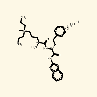 C[N+](CCN)(CCN)CCC[C@H](N)C(=O)N[C@H](CCc1ccccc1)C(=O)Nc1nc2ccccc2s1.Cl.Cl.Cl.[Cl-]